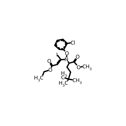 CCOC(=O)C=C(I)N(Oc1ccccc1Cl)C(CCC(C)(C)C)C(=O)OC